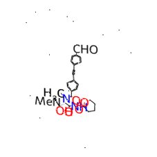 CNC(O)[C@@H](C(=O)NOC1CCCCO1)N(C)C(=O)c1ccc(C#Cc2ccc(C=O)cc2)cc1